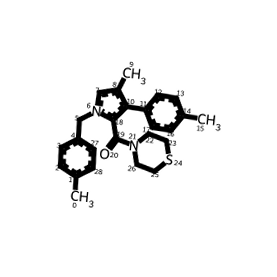 Cc1ccc(Cn2cc(C)c(-c3ccc(C)cc3)c2C(=O)N2CCSCC2)cc1